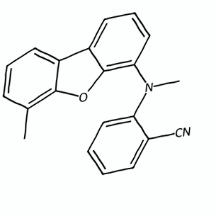 Cc1cccc2c1oc1c(N(C)c3ccccc3C#N)cccc12